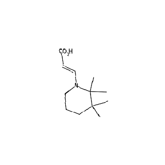 CC1(C)CCCN(C=CC(=O)O)C1(C)C